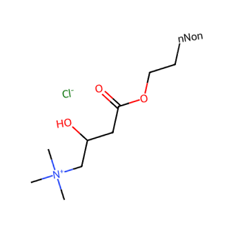 CCCCCCCCCCCOC(=O)CC(O)C[N+](C)(C)C.[Cl-]